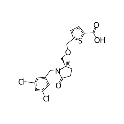 O=C(O)c1ccc(COC[C@H]2CCC(=O)N2Cc2cc(Cl)cc(Cl)c2)s1